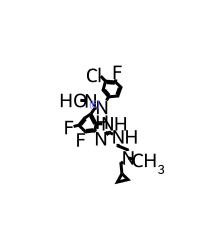 CN(CCNc1nc2c(F)c(F)cc(/C(=N\O)Nc3ccc(F)c(Cl)c3)c2[nH]1)CC1CC1